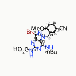 CCCCNc1nc(NC(=O)O)nc2c(Br)nn(Cc3cc(C#N)ccc3OC)c12